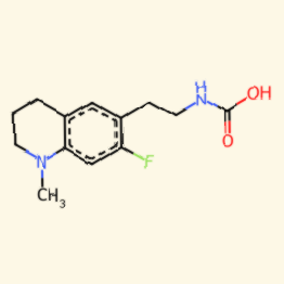 CN1CCCc2cc(CCNC(=O)O)c(F)cc21